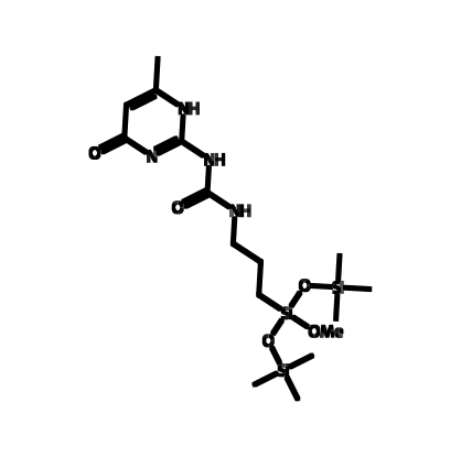 CO[Si](CCCNC(=O)Nc1nc(=O)cc(C)[nH]1)(O[Si](C)(C)C)O[Si](C)(C)C